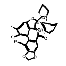 NC(=O)c1cc2c(c(F)c1-c1c(Cl)c(F)cc3c1C[C@](c1ccccc1)([C@@H]1CCCN1)O3)OCO2